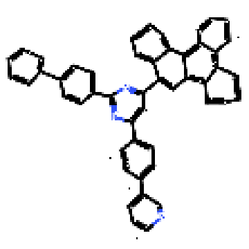 c1ccc(-c2ccc(-c3nc(-c4ccc(-c5cccnc5)cc4)cc(-c4cc5c6ccccc6c6ccccc6c5c5ccccc45)n3)cc2)cc1